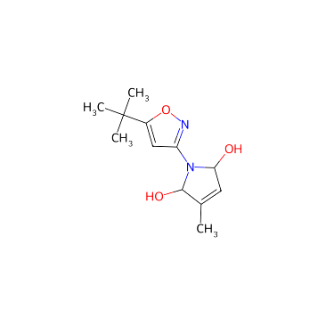 CC1=CC(O)N(c2cc(C(C)(C)C)on2)C1O